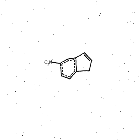 O=[N+]([O-])c1ccc2c(c1)C=[C]C2